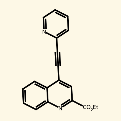 CCOC(=O)c1cc(C#Cc2ccccn2)c2ccccc2n1